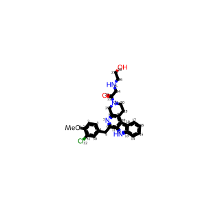 COc1ccc(Cc2nc3c(c4c2[nH]c2ccccc24)CCN(C(=O)CNCCO)C3)cc1Cl